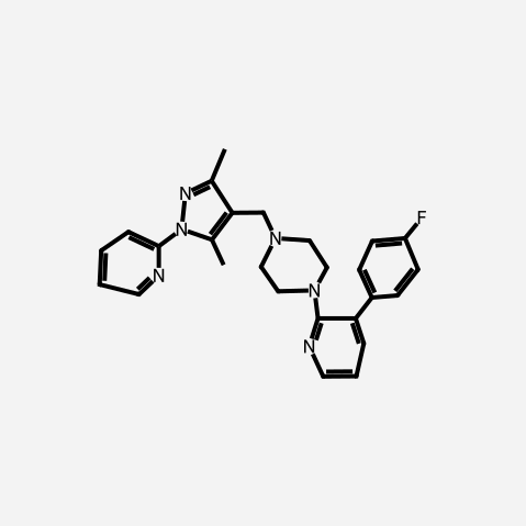 Cc1nn(-c2ccccn2)c(C)c1CN1CCN(c2ncccc2-c2ccc(F)cc2)CC1